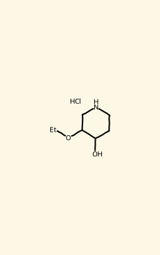 CCOC1CNCCC1O.Cl